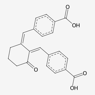 O=C1CCCC(=Cc2ccc(C(=O)O)cc2)C1=Cc1ccc(C(=O)O)cc1